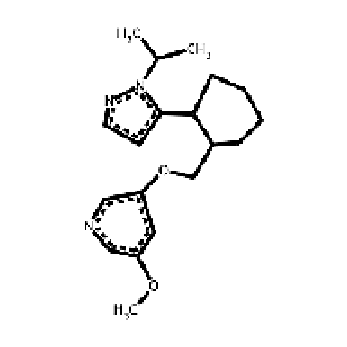 COc1cncc(OCC2CCCCC2c2ccnn2C(C)C)c1